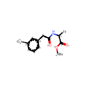 CCCCOC(=O)C(CC)NC(=O)Cc1cccc([N+](=O)[O-])c1